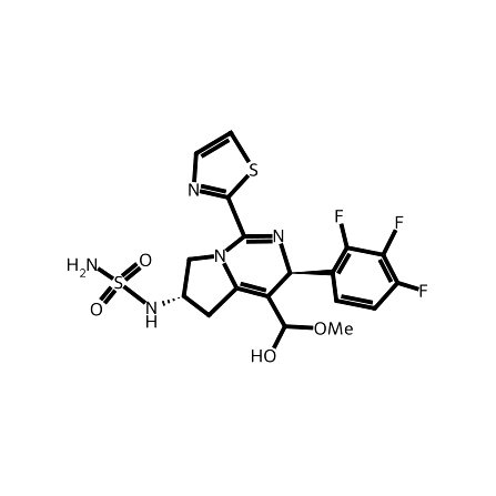 COC(O)C1=C2C[C@H](NS(N)(=O)=O)CN2C(c2nccs2)=N[C@H]1c1ccc(F)c(F)c1F